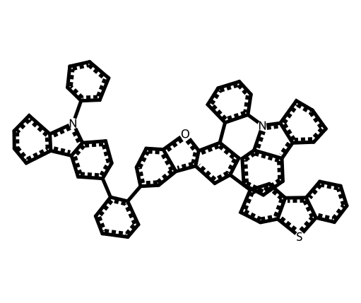 c1ccc(-n2c3ccccc3c3cc(-c4ccccc4-c4ccc5oc6c(-c7ccccc7-n7c8ccccc8c8ccccc87)cc(-c7ccc8sc9ccccc9c8c7)cc6c5c4)ccc32)cc1